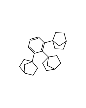 [c]1cc(C23CCC(CC2)C3)c(C23CCC(CC2)C3)c(C23CCC(CC2)C3)c1